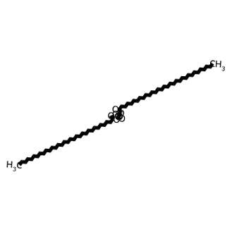 CCCCCCCCCCCCCCCCCCCCCCCCCCCCCCCC(=O)OS(=O)(=O)OC(=O)CCCCCCCCCCCCCCCCCCCCCCCCCCCCCCC